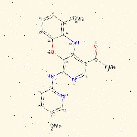 CNC(=O)c1cnc(Nc2ccc(OC)cn2)c2c1Nc1c(OC)cccc1O2